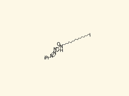 CC(C)CN1CCN(c2ccc(C(=O)NCCCCCCCCCCCCCCCCCI)cn2)CC1